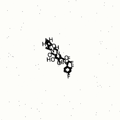 O=C(N[C@@H](c1ccc(F)cc1F)C(F)F)c1cn2c(c(O)c1=O)C(=O)N1C3C[C@]34C(O[C@@H]1C2)[C@@H]1C[C@@H]14